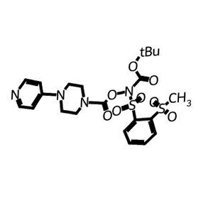 CC(C)(C)OC(=O)N(OC(=O)N1CCN(c2ccncc2)CC1)S(=O)(=O)c1ccccc1S(C)(=O)=O